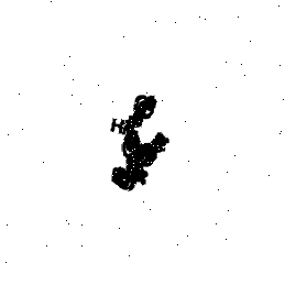 COc1cc(NC2CN(C(=O)OC(C)(C)C)C2)ccc1C1c2ccc3c(cnn3C3CCCCO3)c2CCN1CC1(F)CC1